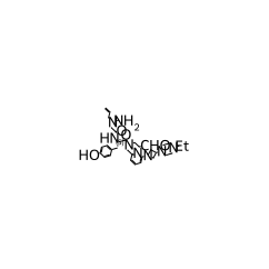 C=CCN(N)CC(=O)N[C@@H](Cc1ccc(O)cc1)C(=O)N(CCC=O)Cc1cccc(N2CC(N3CCN(CC)CC3)C2)n1